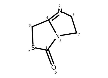 O=C1SCC2=NCCN12